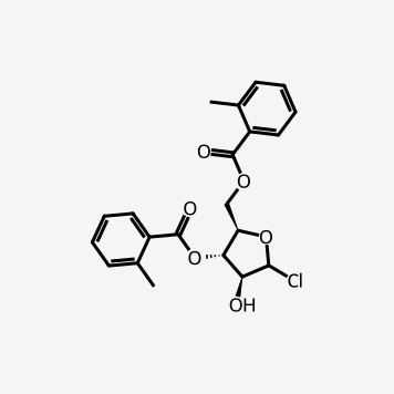 Cc1ccccc1C(=O)OC[C@H]1OC(Cl)[C@@H](O)[C@@H]1OC(=O)c1ccccc1C